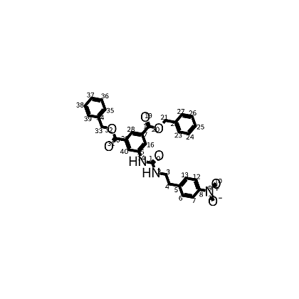 O=C(NCCc1ccc([N+](=O)[O-])cc1)Nc1cc(C(=O)OCc2ccccc2)cc(C(=O)OCc2ccccc2)c1